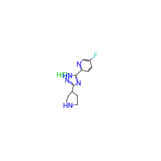 Cl.Fc1ccc(-c2nc(C3CCNCC3)n[nH]2)nc1